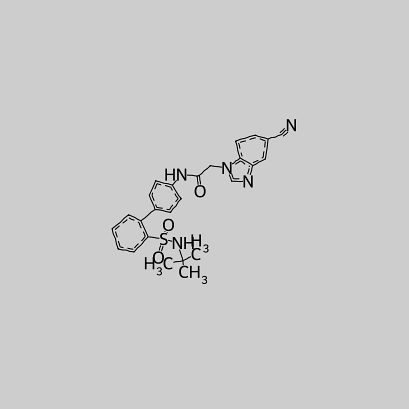 CC(C)(C)NS(=O)(=O)c1ccccc1-c1ccc(NC(=O)Cn2cnc3cc(C#N)ccc32)cc1